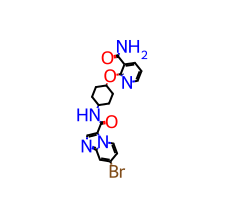 NC(=O)c1cccnc1O[C@H]1CC[C@H](NC(=O)c2cnc3cc(Br)ccn23)CC1